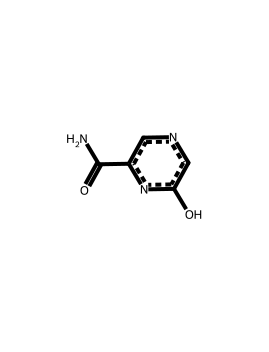 NC(=O)c1cncc(O)n1